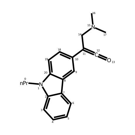 CCCn1c2ccccc2c2cc(C(=C=O)CN(C)C)ccc21